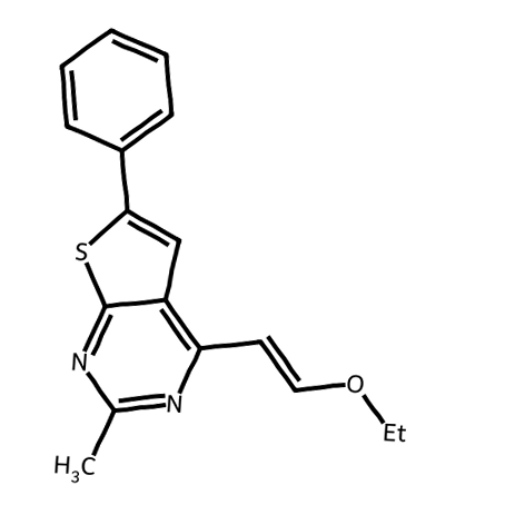 CCOC=Cc1nc(C)nc2sc(-c3ccccc3)cc12